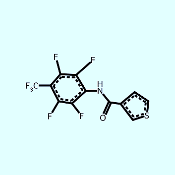 O=C(Nc1c(F)c(F)c(C(F)(F)F)c(F)c1F)c1ccsc1